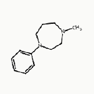 CN1CCCN(c2ccccc2)CC1